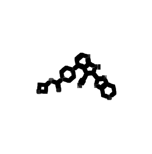 N#Cc1c(-c2nc3c(s2)COCC3)[nH]c2nccc(N3CCN(C(=O)OC4COC4)CC3)c12